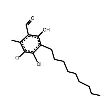 CCCCCCCCCc1c(O)c(Cl)c(C)c(C=O)c1O